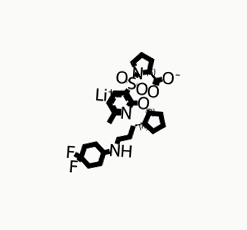 Cc1ccc(S(=O)(=O)N2CCC[C@H]2C(=O)[O-])c(O[C@@H]2CCC[C@@H]2CCCNC2CCC(F)(F)CC2)n1.[Li+]